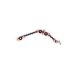 C=COCCCCCCOc1ccc(OC(=O)c2ccc(OCCCCCCCCCCCCOCC3CCC4OC4C3)cc2)cc1